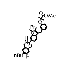 CCCCc1cc([C@H](C)NC(=O)c2ccc3c(Cc4cccc(OC(C)(C)C(=O)OC)c4)c(C)n(CC(C)C)c3c2)ccc1F